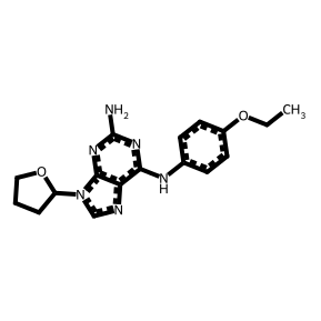 CCOc1ccc(Nc2nc(N)nc3c2ncn3C2CCCO2)cc1